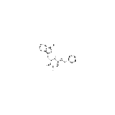 COC(=O)[C@H](Cc1cn(I)c2ccccc12)NC(=O)OCc1ccccc1